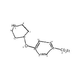 CCOC(=O)c1ccc(OC2CCNCC2)cc1